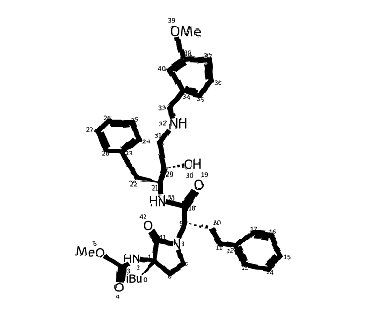 CC[C@H](C)C1(NC(=O)OC)CCN([C@@H](CCc2ccccc2)C(=O)N[C@@H](Cc2ccccc2)[C@@H](O)CNCc2cccc(OC)c2)C1=O